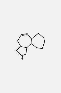 C1=CC2CCCCCC2C2CNCC2C1